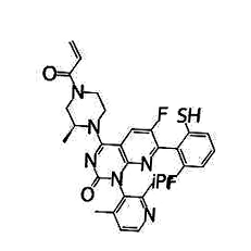 C=CC(=O)N1CCN(c2nc(=O)n(-c3c(C)ccnc3C(C)C)c3nc(-c4c(F)cccc4S)c(F)cc23)[C@@H](C)C1